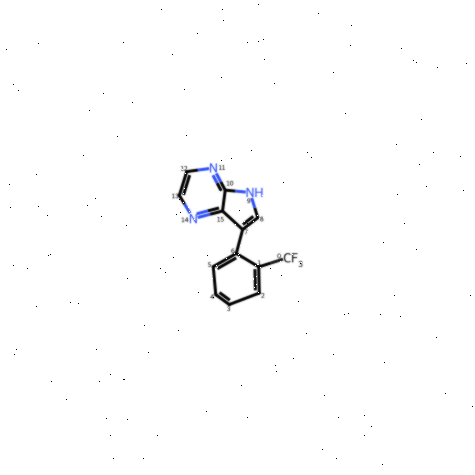 FC(F)(F)c1ccccc1-c1c[nH]c2nccnc12